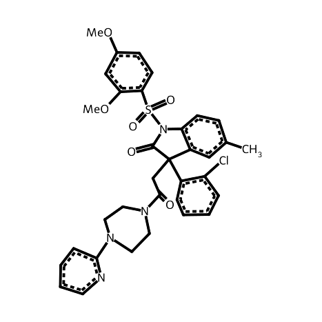 COc1ccc(S(=O)(=O)N2C(=O)C(CC(=O)N3CCN(c4ccccn4)CC3)(c3ccccc3Cl)c3cc(C)ccc32)c(OC)c1